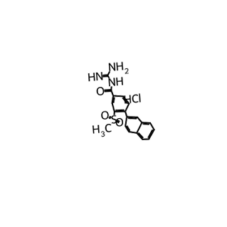 CS(=O)(=O)c1cc(C(=O)NC(=N)N)ccc1-c1ccc2ccccc2c1.Cl